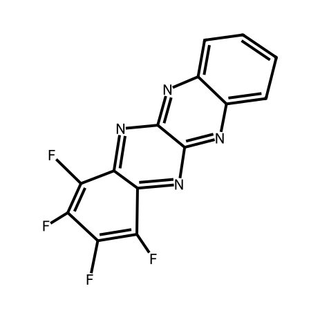 Fc1c(F)c(F)c2nc3nc4ccccc4nc3nc2c1F